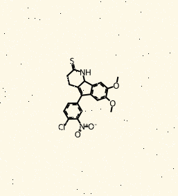 COc1cc2c(cc1OC)C1NC(=S)CCC1=C2c1ccc(Cl)c([N+](=O)[O-])c1